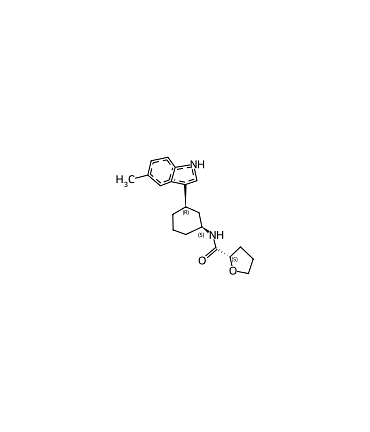 Cc1ccc2[nH]cc([C@@H]3CCC[C@H](NC(=O)[C@@H]4CCCO4)C3)c2c1